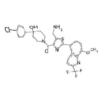 COc1ccc(-c2nc(C(=O)N3CCC(O)(c4ccc(Cl)cc4)CC3)c(CN)s2)c2ccc(C(F)(F)F)nc12